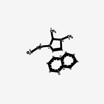 CCCCN1C=CN(C)C1C.O=[N+]([O-])O.c1ccc2ncccc2c1